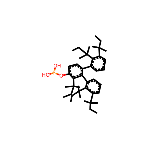 CCC(C)(C)c1cccc(-c2ccc(OP(O)O)c(C(C)(C)CC)c2-c2cccc(C(C)(C)CC)c2C(C)(C)CC)c1C(C)(C)CC